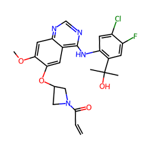 C=CC(=O)N1CC(Oc2cc3c(Nc4cc(Cl)c(F)cc4C(C)(C)O)ncnc3cc2OC)C1